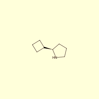 C1CC([C@H]2CCCN2)C1